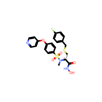 CN([C@H](CSCc1ccc(F)cc1)C(=O)NO)S(=O)(=O)c1ccc(Oc2ccncc2)cc1